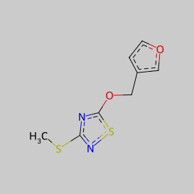 CSc1nsc(OCc2ccoc2)n1